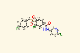 O=C(Nc1ccc(Cl)nc1)c1ccc(S(=O)(=O)Cc2ccc(F)cc2)c(F)c1